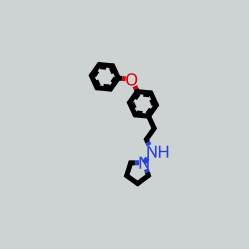 c1ccc(Oc2ccc(CCNN3CCCC3)cc2)cc1